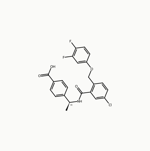 C[C@H](NC(=O)c1cc(Cl)ccc1COc1ccc(F)c(F)c1)c1ccc(C(=O)O)cc1